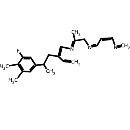 C=C/C(=C\N=C(/C)C/N=C\C=C/N=C)CC(C)c1cc(C)c(C)c(F)c1